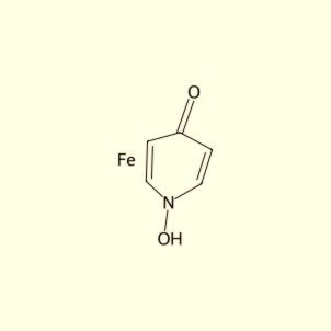 O=c1ccn(O)cc1.[Fe]